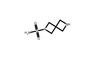 NS(=O)(=O)N1CC2(CNC2)C1